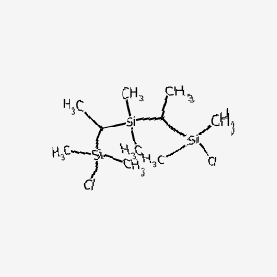 CC([Si](C)(C)Cl)[Si](C)(C)C(C)[Si](C)(C)Cl